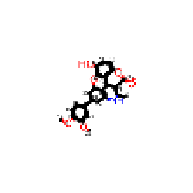 COC(=O)C1=C(C)NC2=C(C(=O)CC(c3ccc(OC)c(OC)c3)C2)C1c1cccc(O)c1